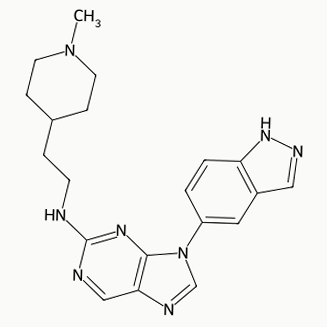 CN1CCC(CCNc2ncc3ncn(-c4ccc5[nH]ncc5c4)c3n2)CC1